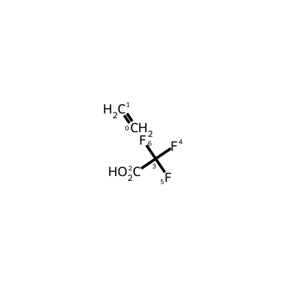 C=C.O=C(O)C(F)(F)F